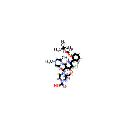 C[C@H]1CN(C)CCN1c1nc(-c2c(F)cccc2OC(=O)OC(C)(C)C)c(Cl)c2c1C(=O)N1CCN(C(=O)O)C[C@@H]1CO2